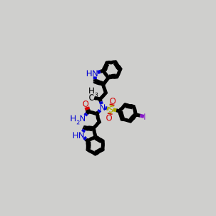 CC(Cc1c[nH]c2ccccc12)N(C(Cc1c[nH]c2ccccc12)C(N)=O)S(=O)(=O)c1ccc(I)cc1